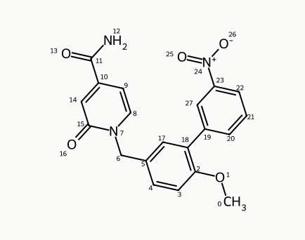 COc1ccc(Cn2ccc(C(N)=O)cc2=O)cc1-c1cccc([N+](=O)[O-])c1